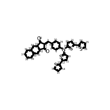 O=C1C(=Cc2ccc(N(c3ccc(-c4cccs4)s3)c3ccc(-c4cccs4)s3)cc2)C(=O)c2cc3ccccc3cc21